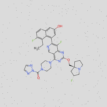 CCc1c(F)ccc2cc(O)cc(-c3ncc4c(N5CCN(C(=O)n6nccn6)CC5)nc(OC[C@@]56CCCN5C[C@H](F)C6)nc4c3F)c12